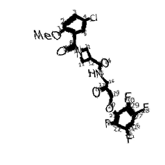 COc1ccc(Cl)cc1C(=O)N1CC(C(=O)NCC(=O)COc2c(F)c(F)cc(F)c2F)C1